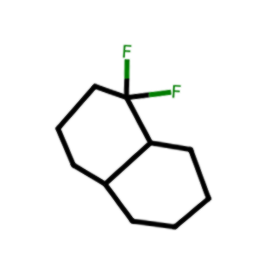 FC1(F)CCCC2CCCCC21